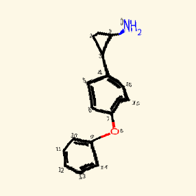 NC1CC1c1ccc(Oc2ccccc2)cc1